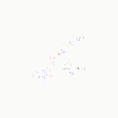 C#Cc1cc(C[C@@H](CC(O)N2CCC(N3Cc4ccccc4NC3=O)CC2)C(=O)N2CCC(N3CCCN(C)CC3)CC2)cc(Cl)c1N